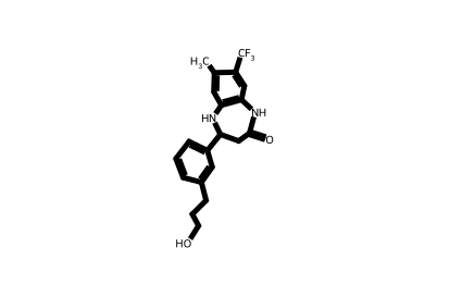 Cc1cc2c(cc1C(F)(F)F)NC(=O)CC(c1cccc(CCCO)c1)N2